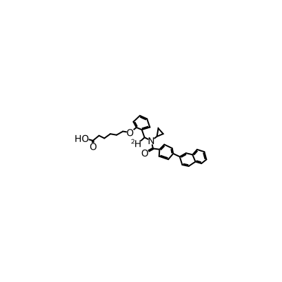 [2H]C(c1ccccc1OCCCCCC(=O)O)N(C(=O)c1ccc(-c2ccc3ccccc3c2)cc1)C1CC1